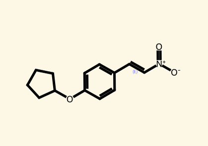 O=[N+]([O-])/C=C/c1ccc(OC2CCCC2)cc1